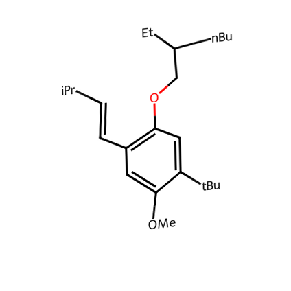 CCCCC(CC)COc1cc(C(C)(C)C)c(OC)cc1/C=C/C(C)C